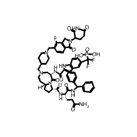 NC(=O)CC[C@H](NC(=O)[C@@H]1CC[C@@H]2CCN(CC3CCN(Cc4ccc5c(c4F)CN(C4CCC(=O)NC4=O)C5=O)CC3)C[C@H](NC(=O)c3cc4cc(C(F)(F)P(=O)(O)O)ccc4[nH]3)C(=O)N21)C(=O)NC(c1ccccc1)c1ccccc1